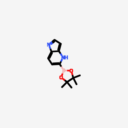 CC1(C)OB(c2ccc3nccc-3[nH]2)OC1(C)C